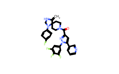 C=C1NCN(c2ccc(F)cc2)C12CCN(C(=O)c1cc(-c3cccnc3)n(-c3cc(F)c(F)c(F)c3)n1)CC2